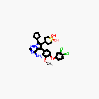 COc1cc(-c2c(C3CCS(O)(O)CC3)c(C3CCCC3)n3ncnc(N)c23)ccc1Oc1ccc(Cl)c(Cl)c1